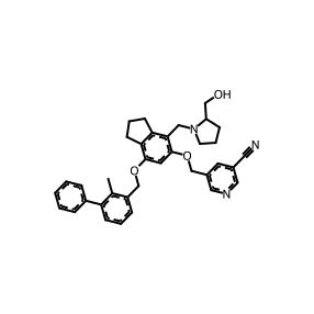 Cc1c(COc2cc(OCc3cncc(C#N)c3)c(CN3CCCC3CO)c3c2CCC3)cccc1-c1ccccc1